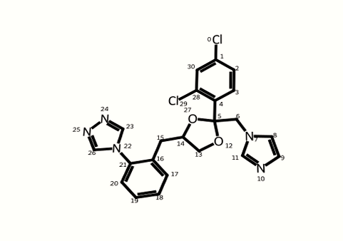 Clc1ccc(C2(Cn3ccnc3)OCC(Cc3ccccc3-n3cnnc3)O2)c(Cl)c1